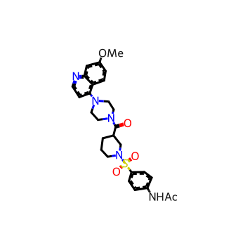 COc1ccc2c(N3CCN(C(=O)C4CCCN(S(=O)(=O)c5ccc(NC(C)=O)cc5)C4)CC3)ccnc2c1